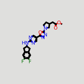 COC(=O)CC1CCN(c2nnc(-c3cnc(NC4Cc5cc(F)c(F)cc5C4)nc3)o2)C1